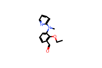 CCOc1c(C=O)cccc1N(C)c1ccccn1